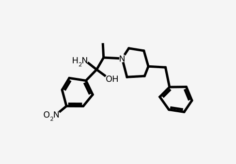 CC(N1CCC(Cc2ccccc2)CC1)C(N)(O)c1ccc([N+](=O)[O-])cc1